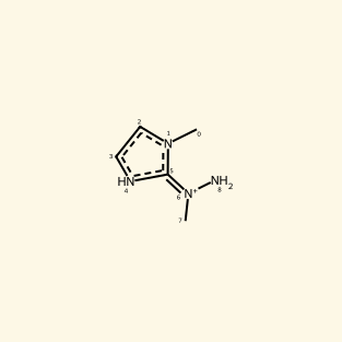 Cn1cc[nH]c1=[N+](C)N